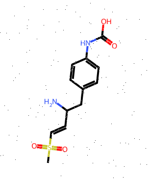 CS(=O)(=O)C=CC(N)Cc1ccc(NC(=O)O)cc1